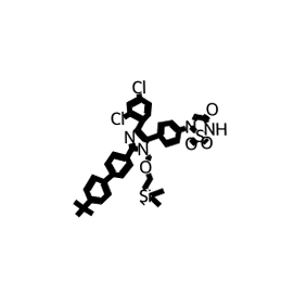 CC(C)(C)c1ccc(-c2ccc(-c3nc(-c4ccc(Cl)cc4Cl)c(-c4ccc(N5CC(=O)NS5(=O)=O)cc4)n3COCC[Si](C)(C)C)cc2)cc1